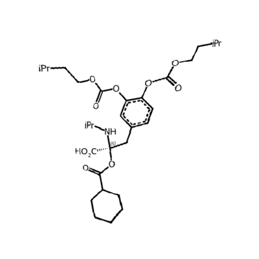 CC(C)CCOC(=O)Oc1ccc(C[C@](NC(C)C)(OC(=O)C2CCCCC2)C(=O)O)cc1OC(=O)OCCC(C)C